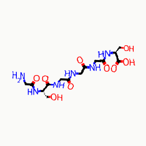 NCC(=O)N[C@@H](CO)C(=O)NCC(=O)NCC(=O)NCC(=O)N[C@@H](CO)C(=O)O